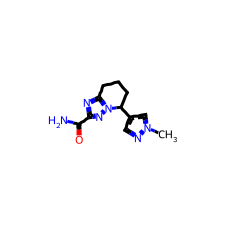 Cn1cc(C2CCCc3nc(C(N)=O)nn32)cn1